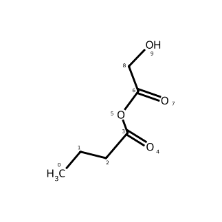 CCCC(=O)OC(=O)CO